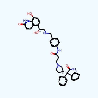 NC(=O)C(c1ccccc1)(c1ccccc1)[C@@H]1CCN(CCC(=O)Nc2ccc(CNC[C@@H](O)c3ccc(O)c4[nH]c(=O)ccc34)cc2)C1